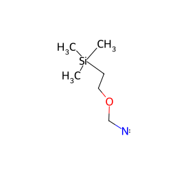 C[Si](C)(C)CCOC[N]